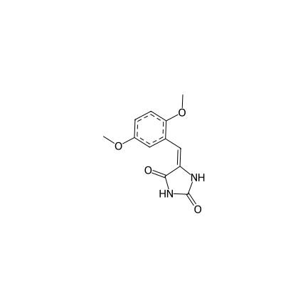 COc1ccc(OC)c(C=C2NC(=O)NC2=O)c1